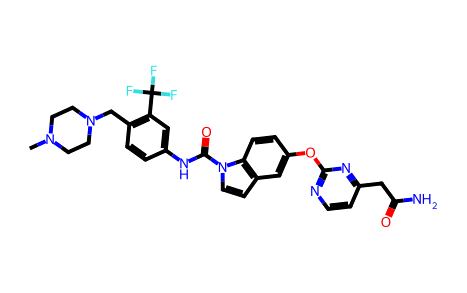 CN1CCN(Cc2ccc(NC(=O)n3ccc4cc(Oc5nccc(CC(N)=O)n5)ccc43)cc2C(F)(F)F)CC1